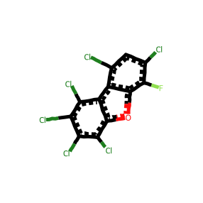 Fc1c(Cl)cc(Cl)c2c1oc1c(Cl)c(Cl)c(Cl)c(Cl)c12